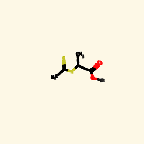 CCOC(=O)C(C)SC(C)=S